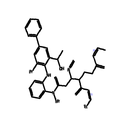 C=NC(CC(=C)N(CCC)c1ccccc1Nc1c(C(C)C)cc(-c2ccccc2)cc1C(C)O)C(CCC(=C)/C=C\C)C(=C)/C=C\CC